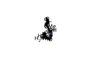 COc1ccc2cc3[n+](cc2c1OC(=O)CCCCNC(=O)c1cc(/N=N/c2ccc(COC(=O)N(C)CCN(C)C(=O)n4ccc5c(NC6C7CC8CC(C)(O)CC6C87)c(C(N)=O)cnc54)cc2)ccc1O)CCc1cc2c(cc1-3)OCO2